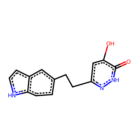 O=c1[nH]nc(CCc2ccc3[nH]ccc3c2)cc1O